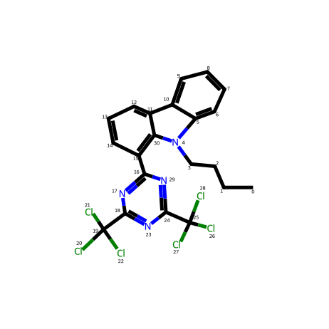 CCCCn1c2ccccc2c2cccc(-c3nc(C(Cl)(Cl)Cl)nc(C(Cl)(Cl)Cl)n3)c21